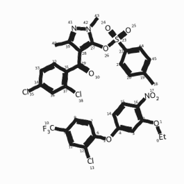 CCOc1cc(Oc2ccc(C(F)(F)F)cc2Cl)ccc1[N+](=O)[O-].Cc1ccc(S(=O)(=O)Oc2c(C(=O)c3ccc(Cl)cc3Cl)c(C)nn2C)cc1